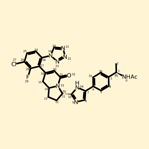 CC(=O)N[C@H](C)c1ccc(-c2cnc([C@@H]3CCC4CC(c5c(-n6cnnn6)ccc(Cl)c5F)=CC(=O)N43)[nH]2)cc1